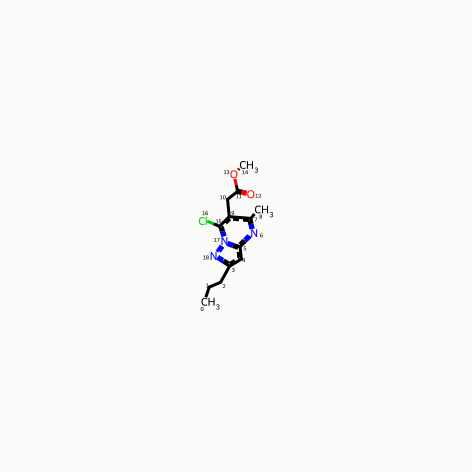 CCCc1cc2nc(C)c(CC(=O)OC)c(Cl)n2n1